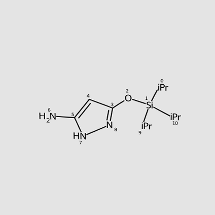 CC(C)[Si](Oc1cc(N)[nH]n1)(C(C)C)C(C)C